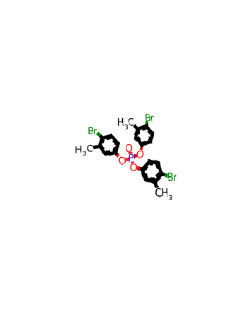 Cc1cc(OP(=O)(Oc2ccc(Br)c(C)c2)Oc2ccc(Br)c(C)c2)ccc1Br